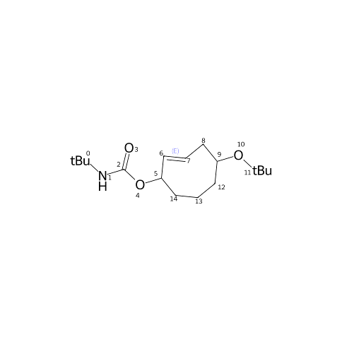 CC(C)(C)NC(=O)OC1/C=C/CC(OC(C)(C)C)CCC1